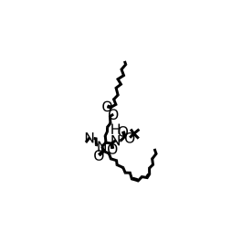 CCCCC/C=C\C/C=C\CCCCCCCC(=O)N(CCN(C)C)C(CCCCCOC(=O)CCCCCCCCCC)C(=O)NCC(=O)OC(C)(C)C